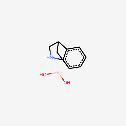 OBO.c1cc2c3c(c1)C(CN3)C2